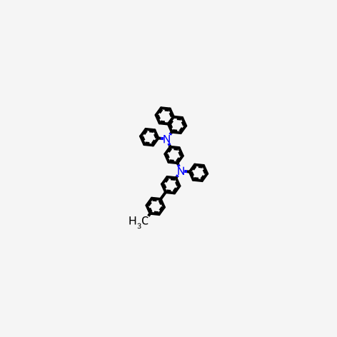 Cc1ccc(-c2ccc(N(c3ccccc3)c3ccc(N(c4ccccc4)c4cccc5ccccc45)cc3)cc2)cc1